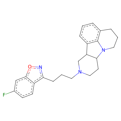 Fc1ccc2c(CCCN3CCC4C(C3)c3cccc5c3N4CCC5)noc2c1